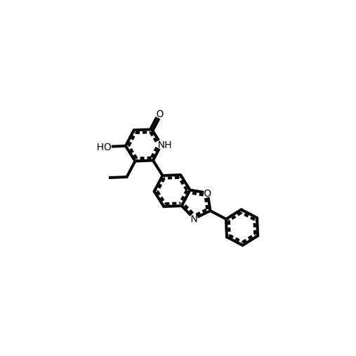 CCc1c(O)cc(=O)[nH]c1-c1ccc2nc(-c3ccccc3)oc2c1